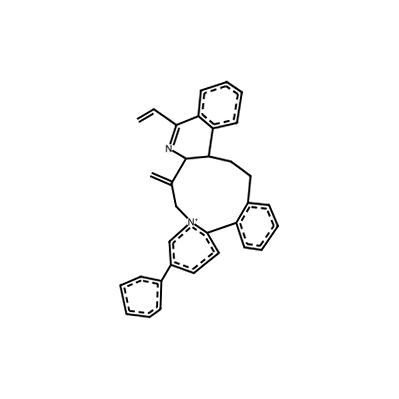 C=CC1=NC2C(=C)C[n+]3cc(-c4ccccc4)ccc3-c3ccccc3CCC2c2ccccc21